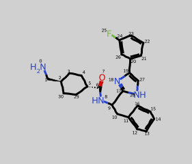 NC[C@H]1CC[C@H](C(=O)NC(Cc2ccccc2)c2nc(-c3cccc(F)c3)c[nH]2)CC1